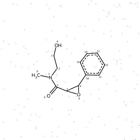 CN(CCO)C(=O)C1OC1c1ccccc1